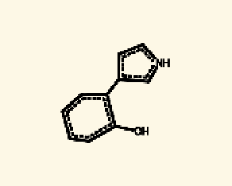 Oc1ccccc1-c1cc[nH]c1